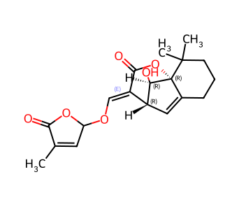 CC1=CC(O/C=C2/C(=O)O[C@]34C(=C[C@H]2[C@H]3O)CCCC4(C)C)OC1=O